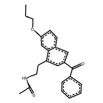 CCCOc1ccc2cc(C(=O)c3ccccc3)cc(CCNC(C)=O)c2c1